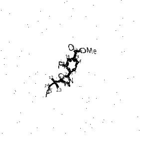 COC(=O)c1ccc(-c2nnc(C(C)(C)CF)o2)c(F)c1